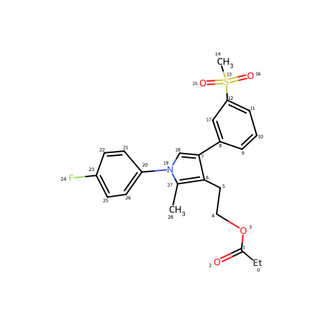 CCC(=O)OCCc1c(-c2cccc(S(C)(=O)=O)c2)cn(-c2ccc(F)cc2)c1C